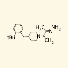 C=C(/C(C)=N/N)N1CCC(Cc2ccccc2C(C)(C)C)CC1